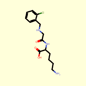 NCCCCC(NC(=O)CNCc1ccccc1Cl)C(=O)O